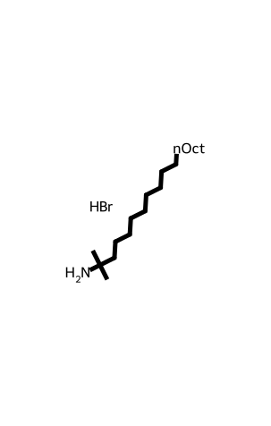 Br.CCCCCCCCCCCCCCCCCC(C)(C)N